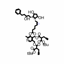 C#CCC(C(=O)OCc1cnc(C)c(OC(=O)CCC/C=C\C[C@@H]2[C@@H](CC[C@@H](O)CCc3ccccc3)[C@H](O)C[C@@H]2O)c1COC(=O)C(CC#C)C(=O)OC(C)(C)C)C(=O)OC(C)(C)C